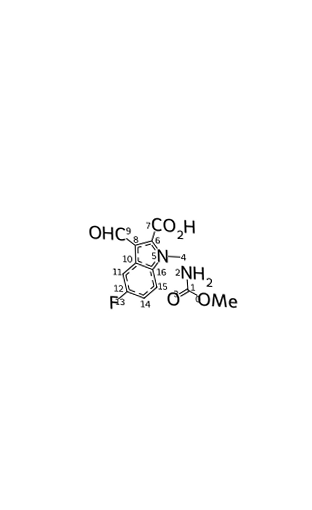 COC(N)=O.Cn1c(C(=O)O)c(C=O)c2cc(F)ccc21